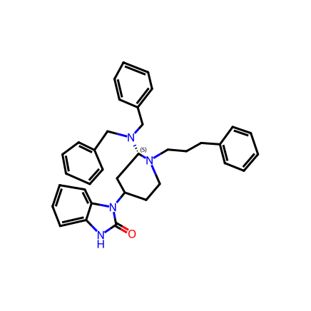 O=c1[nH]c2ccccc2n1C1CCN(CCCc2ccccc2)[C@@H](N(Cc2ccccc2)Cc2ccccc2)C1